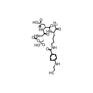 NC(=O)[C@@H](CCCCNC(=O)c1ccc(NCCS)cc1)NC(=O)[C@H](CS(=O)(=O)O)NC(=O)[C@H](CS(=O)(=O)O)NC=O